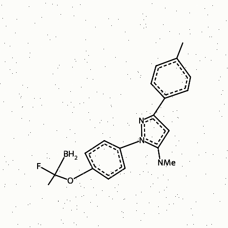 BC(C)(F)Oc1ccc(-n2nc(-c3ccc(C)cc3)cc2NC)cc1